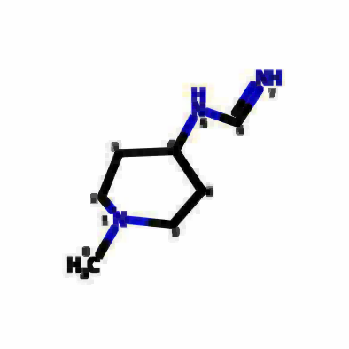 CN1CCC(NC=N)CC1